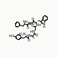 C[C@@H](NC(=O)[C@@H](N)Cc1ccc(O)cc1)C(=O)NCC(=O)N[C@@H](Cc1c[nH]c2ccccc12)C(=O)NNC(=O)[C@@H](N)Cc1ccccc1